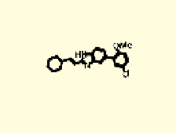 COc1ccc(Cl)cc1-c1ccc2[nH]c(C=CC3CCCCC3)nc2c1